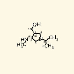 CN[C@H]1CN(C(C)C)C[C@@H]1CO